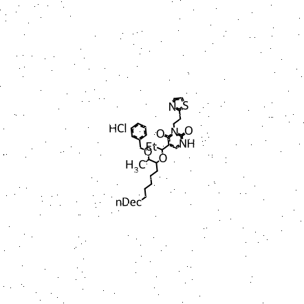 CCCCCCCCCCCCCCCC(OC(CC)c1c[nH]c(=O)n(CCc2nccs2)c1=O)C(C)OCc1ccccc1.Cl